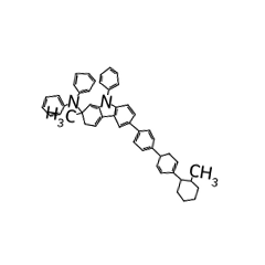 CC1CCCCC1C1=CCC(c2ccc(-c3ccc4c(c3)c3c(n4-c4ccccc4)=CC(C)(N(c4ccccc4)c4ccccc4)CC=3)cc2)C=C1